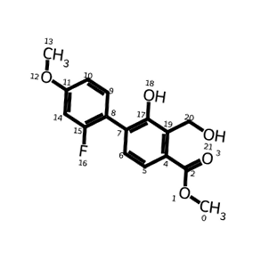 COC(=O)c1ccc(-c2ccc(OC)cc2F)c(O)c1CO